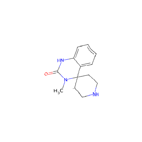 CN1C(=O)Nc2ccccc2C12[CH]CNCC2